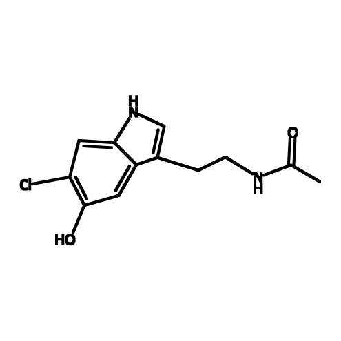 CC(=O)NCCc1c[nH]c2cc(Cl)c(O)cc12